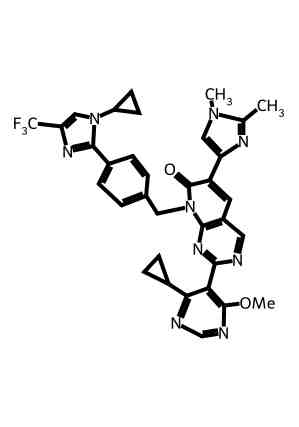 COc1ncnc(C2CC2)c1-c1ncc2cc(-c3cn(C)c(C)n3)c(=O)n(Cc3ccc(-c4nc(C(F)(F)F)cn4C4CC4)cc3)c2n1